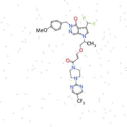 COc1ccc(Cn2ncc3c(c(C(F)F)cn3C(C)CO/C=C/C(=O)N3CCN(c4ncc(C(F)(F)F)cn4)CC3)c2=O)cc1